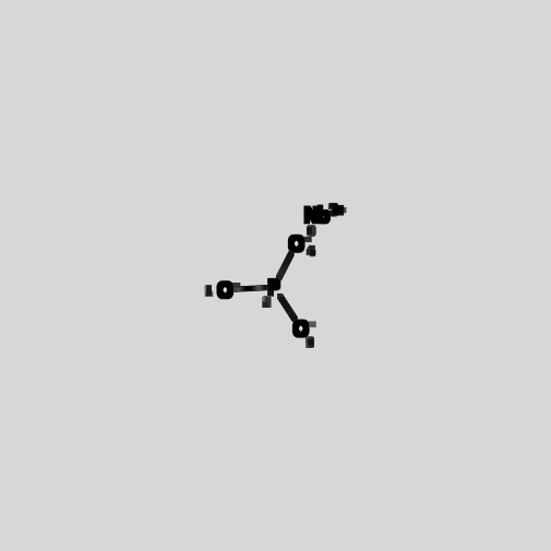 [Nb+3].[O-]P([O-])[O-]